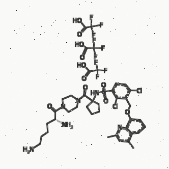 Cc1cc(C)c2cccc(OCc3c(Cl)ccc(S(=O)(=O)NC4(C(=O)N5CCN(C(=O)[C@H](N)CCCCN)CC5)CCCC4)c3Cl)c2n1.O=C(O)C(F)(F)F.O=C(O)C(F)(F)F.O=C(O)C(F)(F)F